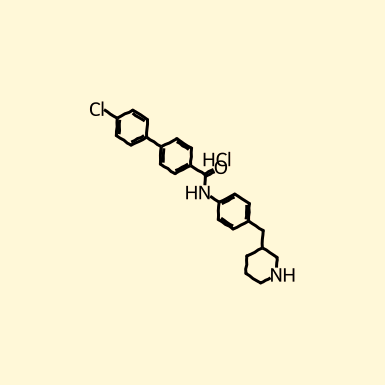 Cl.O=C(Nc1ccc(CC2CCCNC2)cc1)c1ccc(-c2ccc(Cl)cc2)cc1